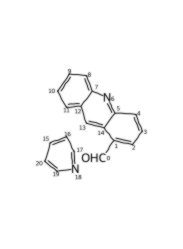 O=Cc1cccc2nc3ccccc3cc12.c1ccncc1